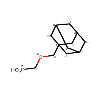 O=C(O)COCC12CC3CC(CC(C3)C1)C2